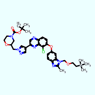 Cc1nc2ccc(Oc3ccc4ncc(-c5cnn(CC6CN(C(=O)OC(C)(C)C)CCO6)c5)nc4c3Cl)cc2n1COCC[Si](C)(C)C